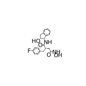 O=C(C[C@@H](Cc1ccc(F)cc1)C(=O)N[C@H]1c2ccccc2C[C@H]1O)NO